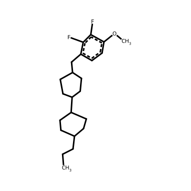 CCCC1CCC(C2CCC(Cc3ccc(OC)c(F)c3F)CC2)CC1